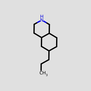 CCCC1CCC2CNCCC2C1